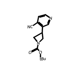 CC(C)(C)OC(=O)N1CC(c2cnccc2C#N)C1